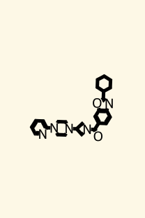 O=C(c1ccc2nc(C3CCCCC3)oc2c1)N1CC(N2CCN(c3ccccn3)CC2)C1